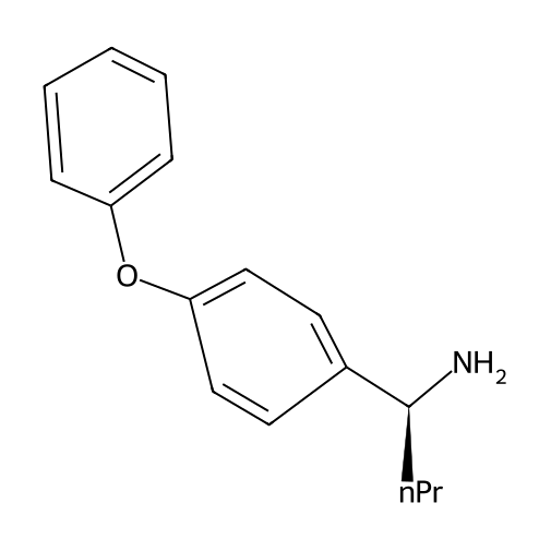 CCC[C@H](N)c1ccc(Oc2ccccc2)cc1